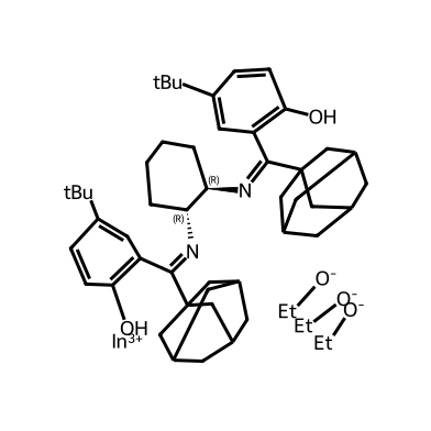 CC(C)(C)c1ccc(O)c(C(=N[C@@H]2CCCC[C@H]2N=C(c2cc(C(C)(C)C)ccc2O)C23CC4CC(CC(C4)C2)C3)C23CC4CC(CC(C4)C2)C3)c1.CC[O-].CC[O-].CC[O-].[In+3]